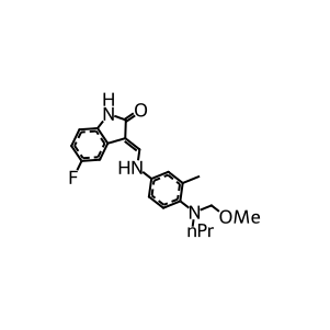 CCCN(COC)c1ccc(N/C=C2/C(=O)Nc3ccc(F)cc32)cc1C